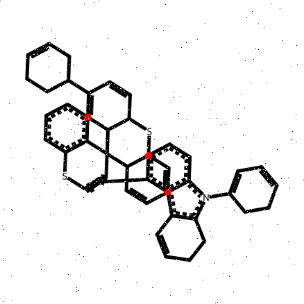 C1=CCCC(n2c3c(c4c(-c5cccc6c5C5(c7ccccc7S6)C6C=CC=CC6SC6C=CC(C7CC=CCC7)=CC65)cccc42)C=CCC3)=C1